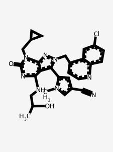 CC(O)CNc1nc(=O)n(CC2CC2)c2nn(Cc3ccnc4ccc(Cl)cc34)c(-c3cc(C#N)cn3C)c12